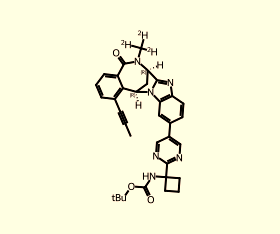 [2H]C([2H])([2H])N1C(=O)c2cccc(C#CC)c2[C@H]2C[C@@H]1c1nc3ccc(-c4cnc(C5(NC(=O)OC(C)(C)C)CCC5)nc4)cc3n12